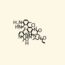 C=CC(=O)N1CC(C)N2C(=N)c3c(Nc4c(C)ccnc4C(C)O)c(F)c(-c4c(C)ccc(N)c4C=N)c(Cl)c3N(C)C(=O)C2C1